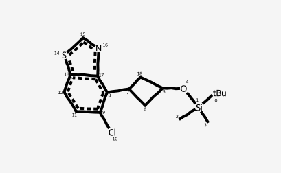 CC(C)(C)[Si](C)(C)OC1CC(c2c(Cl)ccc3scnc23)C1